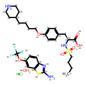 CCCCS(=O)(=O)N[C@@H](Cc1ccc(OCCCCC2CCNCC2)cc1)C(=O)O.Cl.Nc1nc2ccc(OC(F)(F)F)cc2s1.O